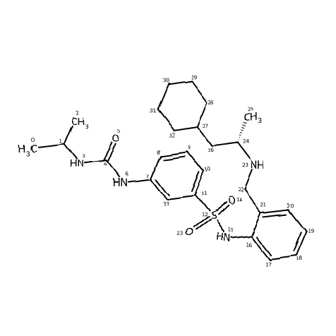 CC(C)NC(=O)Nc1cccc(S(=O)(=O)Nc2ccccc2CN[C@@H](C)CC2CCCCC2)c1